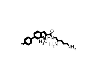 Cn1c(C(=O)NC[C@@H](N)CCCN)cc2ccc(-c3ccc(F)cc3)cc21